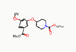 COC(=O)c1cc(OC(C)C)cc(OC2CCN(C(=O)OC(C)(C)C)CC2)c1